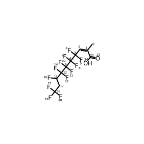 CC(=CC(F)(F)C(F)(F)C(F)(F)C(F)(F)C(F)CC(F)(F)F)C(=O)O